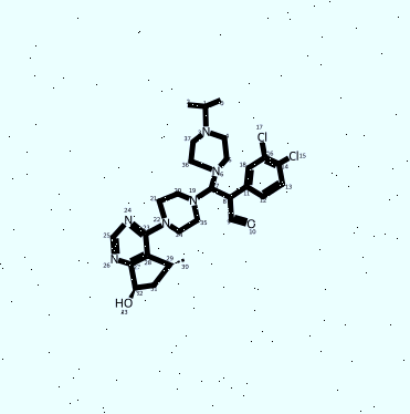 CC(C)N1CCN(C(C(C=O)c2ccc(Cl)c(Cl)c2)N2CCN(c3ncnc4c3[C@H](C)C[C@H]4O)CC2)CC1